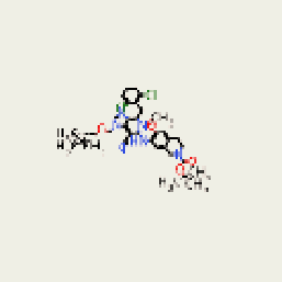 COc1cc2c(cc1Nc1nc(Cc3c(Cl)cccc3Cl)c3ncn(COCC[Si](C)(C)C)c3c1C#N)CN(C(=O)OC(C)(C)C)CC2